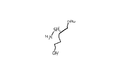 CCCCCCCCO.N[SiH3]